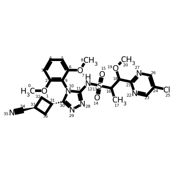 COc1cccc(OC)c1-n1c(NS(=O)(=O)C(C)C(OC)c2ncc(Cl)cn2)nnc1[C@H]1C[C@H](C#N)C1